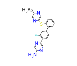 Nc1cnc(-c2ccc(-c3ccccc3Sc3cnc([AsH2])cn3)cc2F)cn1